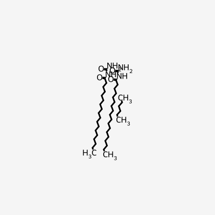 CCCCCC.CCCCCCCCCCCCCCCCCC(=O)NC(N)=O.CCCCCCCCCCCCCCCCCC(=O)NC(N)=O